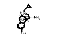 N[C@@H]1C[C@@]23CCN(CC4CC4)[C@H](Cc4ccc(O)cc42)[C@]3(O)C1